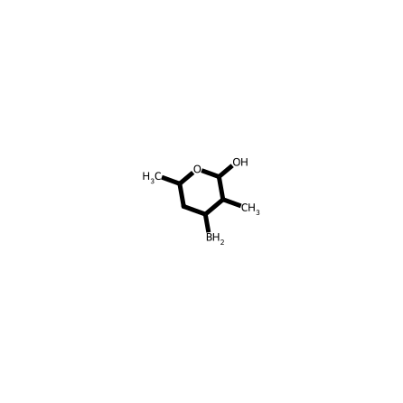 BC1CC(C)OC(O)C1C